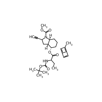 C#CC1C[C@H]2[C@@H](OC(=O)C(CC)NC(=O)OC(C)(C)C)CCC[C@H]2N1C(=O)OC.Cc1cc2ccc1-2